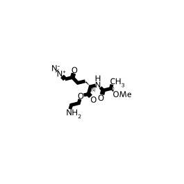 CO[C@@H](C)C(=O)N[C@@H](CCC(=O)C=[N+]=[N-])C(=O)OCCN